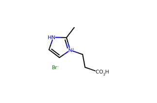 Cc1[nH]cc[n+]1CCC(=O)O.[Br-]